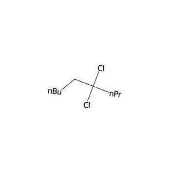 CCCCCC(Cl)(Cl)CCC